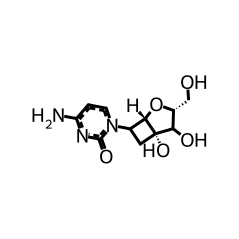 Nc1ccn(C2C[C@]3(O)C(O)[C@@H](CO)O[C@@H]23)c(=O)n1